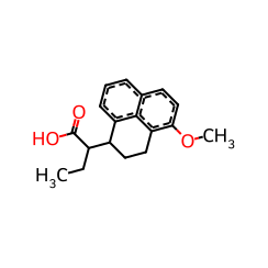 CCC(C(=O)O)C1CCc2c(OC)ccc3cccc1c23